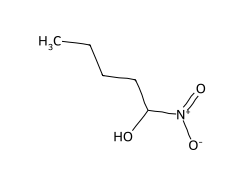 CCCCC(O)[N+](=O)[O-]